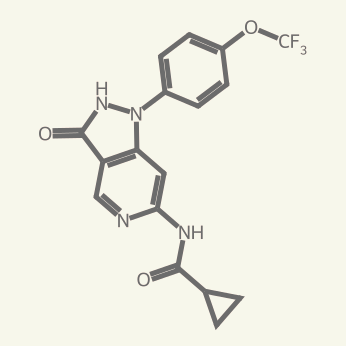 O=C(Nc1cc2c(cn1)c(=O)[nH]n2-c1ccc(OC(F)(F)F)cc1)C1CC1